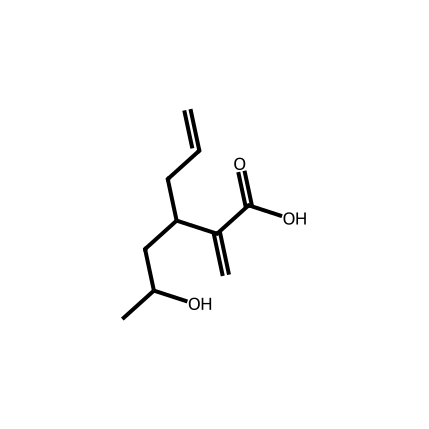 C=CCC(CC(C)O)C(=C)C(=O)O